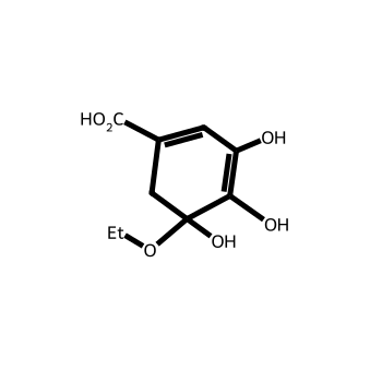 CCOC1(O)CC(C(=O)O)=CC(O)=C1O